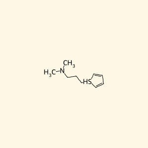 CN(C)CCC[SH]1C=CC=C1